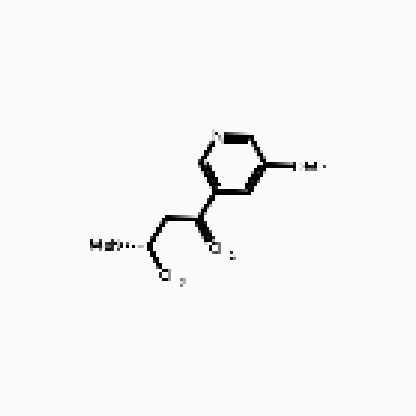 C=C(C[C@H](C)NC)c1cncc(OC)c1